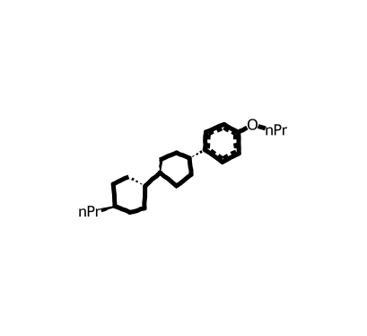 CCCOc1ccc([C@H]2CC[C@H]([C@H]3CC[C@H](CCC)CC3)CC2)cc1